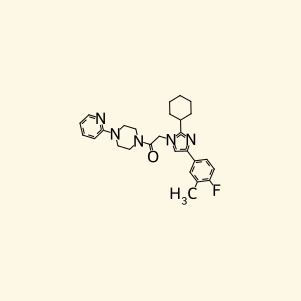 Cc1cc(-c2cn(CC(=O)N3CCN(c4ccccn4)CC3)c(C3CCCCC3)n2)ccc1F